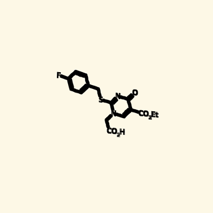 CCOC(=O)c1cn(CC(=O)O)c(SCc2ccc(F)cc2)nc1=O